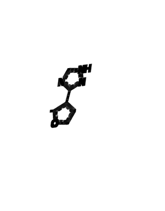 [c]1occc1-c1nc[nH]n1